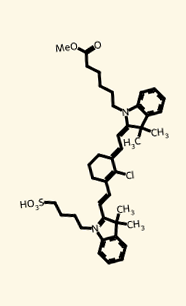 COC(=O)CCCCCN1/C(=C/C=C2\CCCC(/C=C/C3=[N+](CCCCS(=O)(=O)O)c4ccccc4C3(C)C)=C2Cl)C(C)(C)c2ccccc21